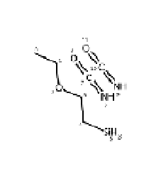 CCOCC[SiH3].N=C=O.N=C=O